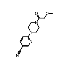 COCC(=O)N1CCN(c2ccc(C#N)cn2)CC1